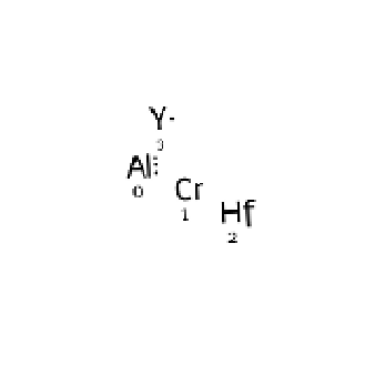 [Al].[Cr].[Hf].[Y]